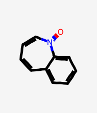 O=[n+]1ccccc2ccccc21